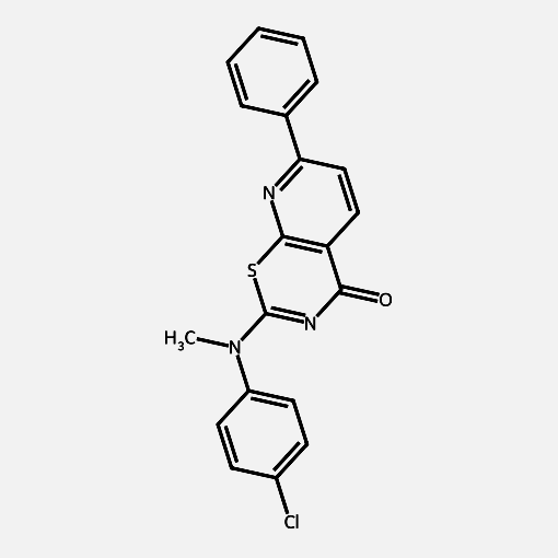 CN(c1ccc(Cl)cc1)c1nc(=O)c2ccc(-c3ccccc3)nc2s1